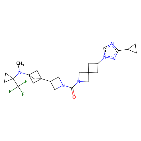 CN(C12CC(C3CN(C(=O)N4CC5(CC(n6cnc(C7CC7)n6)C5)C4)C3)(C1)C2)C1(C(F)(F)F)CC1